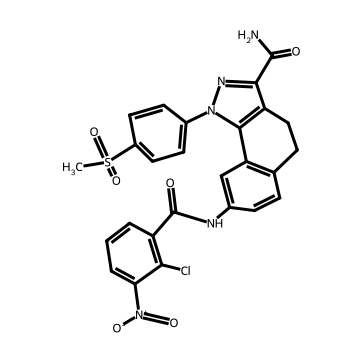 CS(=O)(=O)c1ccc(-n2nc(C(N)=O)c3c2-c2cc(NC(=O)c4cccc([N+](=O)[O-])c4Cl)ccc2CC3)cc1